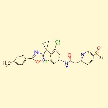 CC[S+]([O-])c1ccc(CC(=O)Nc2cc(Cl)c(C3(c4noc(-c5ccc(C)cc5)n4)CC3)c(Cl)c2)nc1